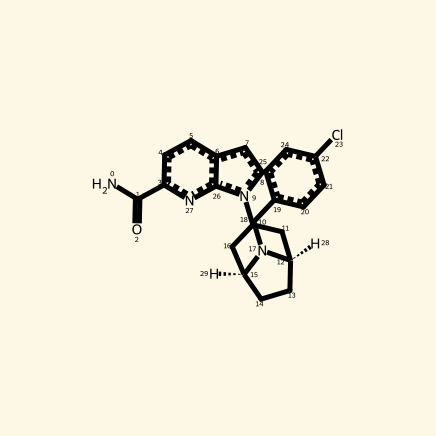 NC(=O)c1ccc2ccn(C3C[C@H]4CC[C@@H](C3)N4Cc3ccc(Cl)cc3)c2n1